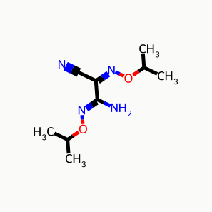 CC(C)O/N=C(N)/C(C#N)=N\OC(C)C